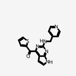 O=C(c1cccs1)c1nc(NCc2ccncc2)nc2[nH]ccc12